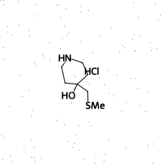 CSCC1(O)CCNCC1.Cl